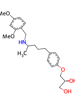 COc1ccc(CNC(C)CCCc2ccc(OC[C@@H](O)CO)cc2)c(OC)c1